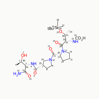 C[C@@H](O)[C@H](NC(=O)[C@H]1CCN(C(=O)[C@H]2CCCN2C(=O)[C@@H](NC(=O)O)[C@@H](C)O[Si](C)(C)C(C)(C)C)C1)C(N)=O